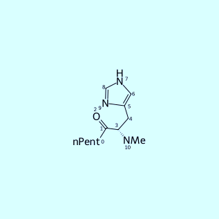 CCCCCC(=O)[C@H](Cc1c[nH]cn1)NC